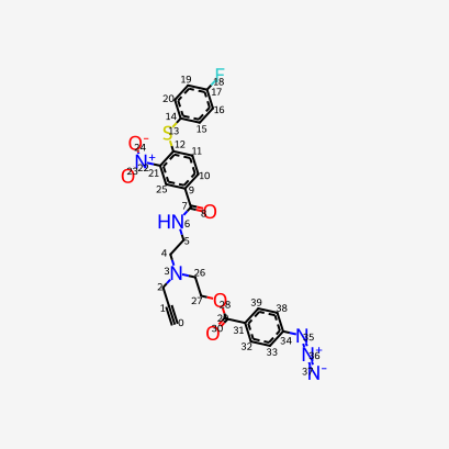 C#CCN(CCNC(=O)c1ccc(Sc2ccc(F)cc2)c([N+](=O)[O-])c1)CCOC(=O)c1ccc(N=[N+]=[N-])cc1